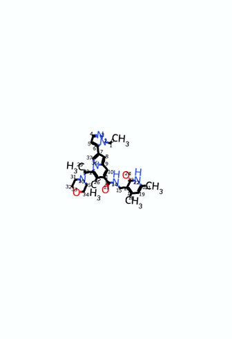 CCn1nccc1-c1cc2cc(C(=O)NCc3c(C)cc(C)[nH]c3=O)c(C)c(C(C)N3CCOCC3)n2c1